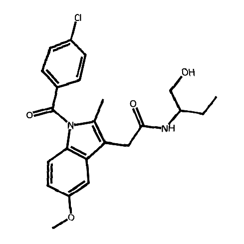 CCC(CO)NC(=O)Cc1c(C)n(C(=O)c2ccc(Cl)cc2)c2ccc(OC)cc12